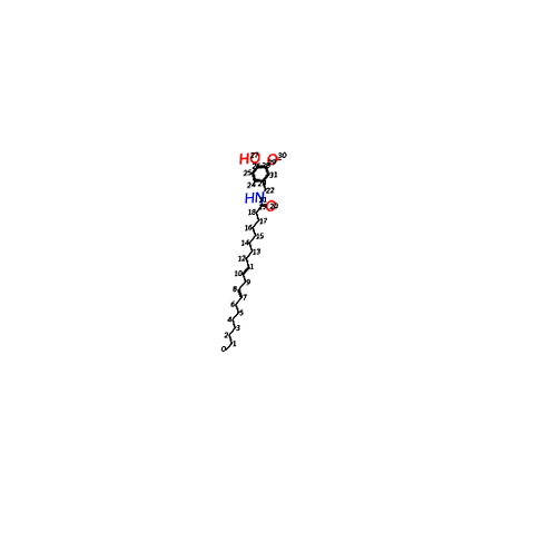 CCCCCCCC=CCC=CCCCCCCCC(=O)NCc1ccc(O)c(OC)c1